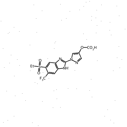 CCS(=O)(=O)c1cc2nc(-n3cc(OC(=O)O)cn3)[nH]c2cc1C(F)(F)F